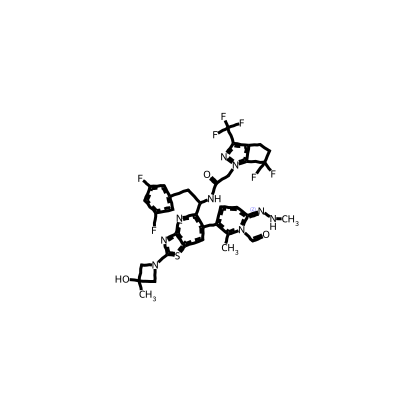 CN/N=c1/ccc(-c2cc3sc(N4CC(C)(O)C4)nc3nc2C(Cc2cc(F)cc(F)c2)NC(=O)Cn2nc(C(F)(F)F)c3c2C(F)(F)CC3)c(C)n1C=O